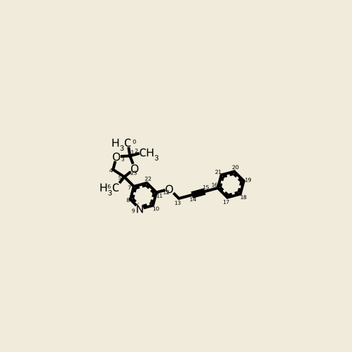 CC1(C)OCC(C)(c2cncc(OCC#Cc3ccccc3)c2)O1